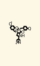 COc1ccc(Cn2c(=O)c3[nH]c(-c4cnn(C)c4)cc3n(Cc3ccc(OC)cc3)c2=O)cc1